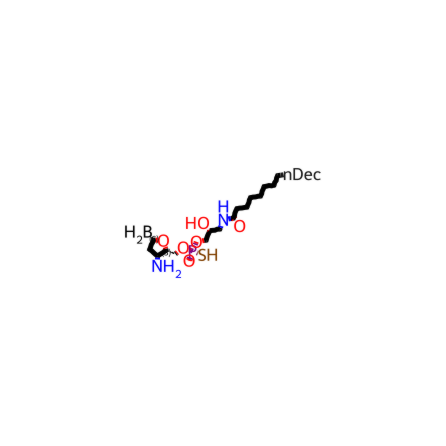 B[C@H]1CC(N)[C@@H](COP(=O)(S)OCC(O)CNC(=O)CCCCCCCCCCCCCCCCC)O1